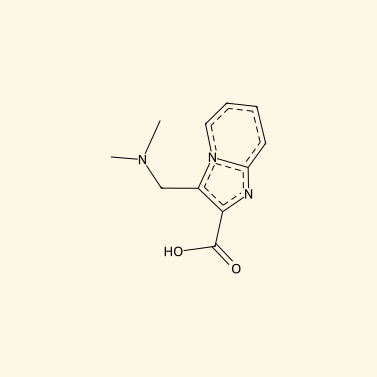 CN(C)Cc1c(C(=O)O)nc2ccccn12